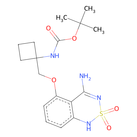 CC(C)(C)OC(=O)NC1(COc2cccc3c2C(N)=NS(=O)(=O)N3)CCC1